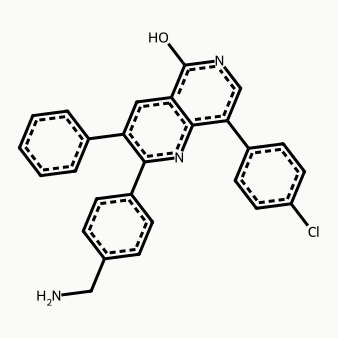 NCc1ccc(-c2nc3c(-c4ccc(Cl)cc4)cnc(O)c3cc2-c2ccccc2)cc1